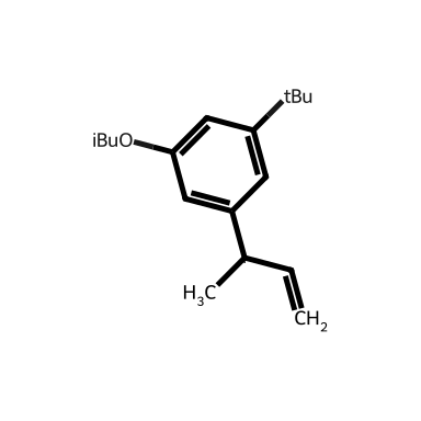 C=C[C](C)c1cc(OCC(C)C)cc(C(C)(C)C)c1